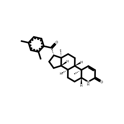 Cc1ccc(C(=O)[C@H]2CC[C@H]3[C@@H]4CC[C@H]5NC(=O)C=C[C@]5(C)[C@H]4CC[C@]23C)c(C)c1